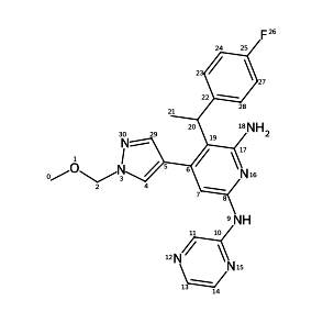 COCn1cc(-c2cc(Nc3cnccn3)nc(N)c2C(C)c2ccc(F)cc2)cn1